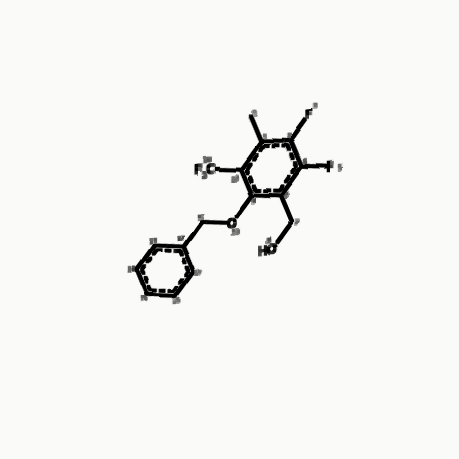 Cc1c(F)c(F)c(CO)c(OCc2ccccc2)c1C(F)(F)F